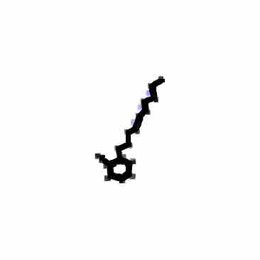 [CH2]/C=C/C=C/C=C/CCCc1ccccc1F